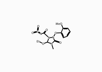 CCOC1N(C)C(=O)N(Oc2ccccc2OC)N1C(=O)N=S(=O)=O